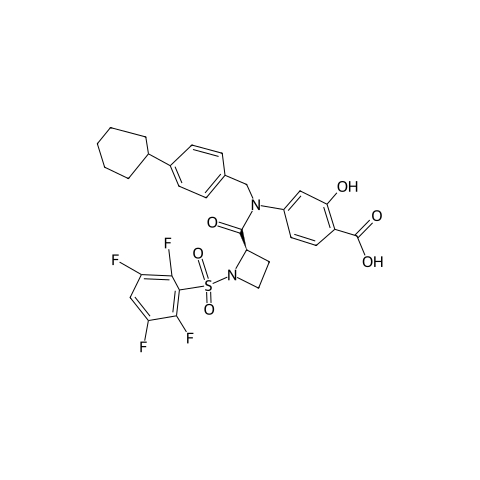 O=C(O)c1ccc(N(Cc2ccc(C3CCCCC3)cc2)C(=O)[C@H]2CCN2S(=O)(=O)c2c(F)c(F)cc(F)c2F)cc1O